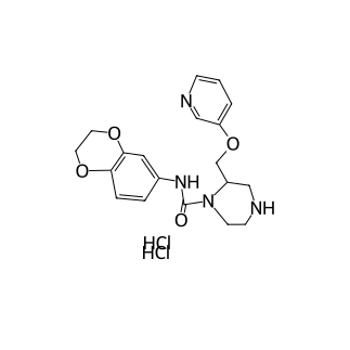 Cl.Cl.O=C(Nc1ccc2c(c1)OCCO2)N1CCNCC1COc1cccnc1